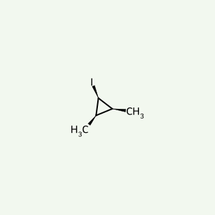 C[C@@H]1[C@H](C)[C@@H]1I